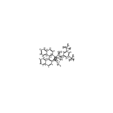 CN(C)c1ccc2ccccc2c1-c1c(NC(S)Nc2cc(C(F)(F)F)cc(C(F)(F)F)c2)ccc2ccccc12